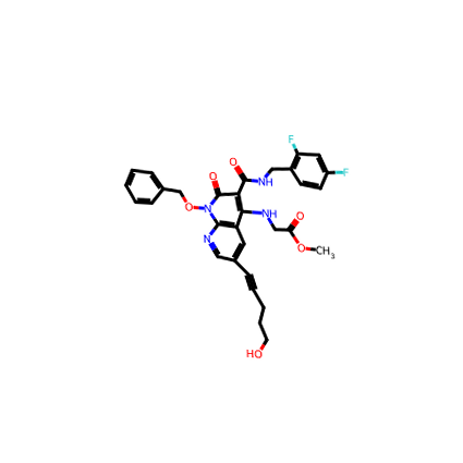 COC(=O)CNc1c(C(=O)NCc2ccc(F)cc2F)c(=O)n(OCc2ccccc2)c2ncc(C#CCCCO)cc12